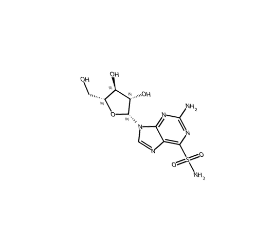 Nc1nc(S(N)(=O)=O)c2ncn([C@@H]3O[C@H](CO)[C@@H](O)[C@@H]3O)c2n1